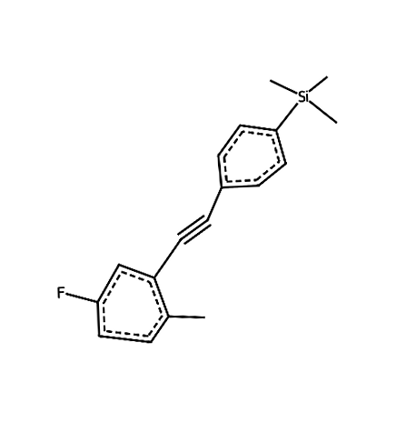 Cc1ccc(F)cc1C#Cc1ccc([Si](C)(C)C)cc1